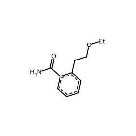 CCOCCc1ccccc1C(N)=O